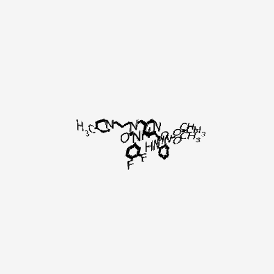 CC1CCN(CCCN(Cc2ccc(C(=O)Nc3ccccc3NC(=O)OC(C)(C)C)nc2)C(=O)Nc2ccc(F)c(F)c2)CC1